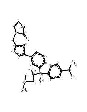 CC(C)c1ccc([C@](O)(c2cncc(-c3noc(CN4CCNC4=O)n3)c2)C2(C)CN(C)C2)cc1